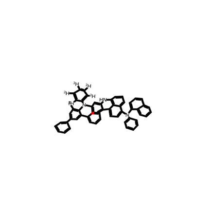 [2H]c1c([2H])c([2H])c(N(c2ccc3c(c2)Nc2cccc4c(N(c5ccccc5)c5cccc6ccccc56)ccc-3c24)c2c(F)cc(-c3ccccc3)cc2-c2ccccc2)c([2H])c1[2H]